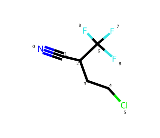 N#CC(CCCl)C(F)(F)F